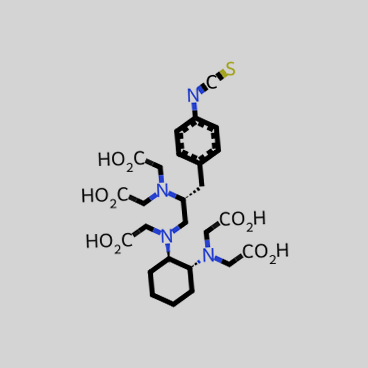 O=C(O)CN(CC(=O)O)[C@H](Cc1ccc(N=C=S)cc1)CN(CC(=O)O)[C@@H]1CCCC[C@H]1N(CC(=O)O)CC(=O)O